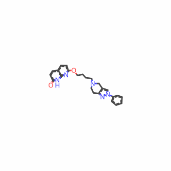 O=c1ccc2ccc(OCCCCN3CCc4nn(-c5ccccc5)cc4C3)nc2[nH]1